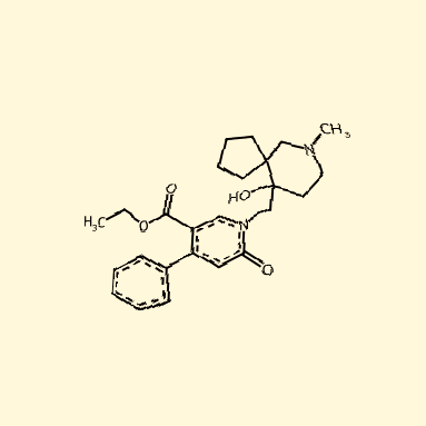 CCOC(=O)c1cn(CC2(O)CCN(C)CC23CCCC3)c(=O)cc1-c1ccccc1